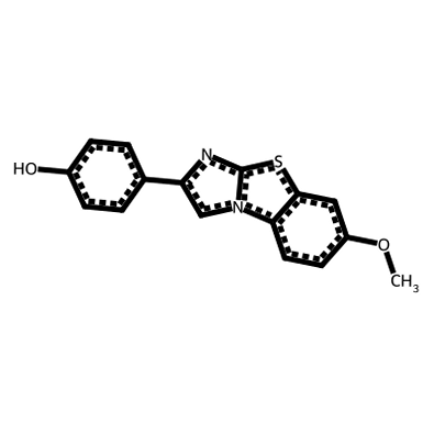 COc1ccc2c(c1)sc1nc(-c3ccc(O)cc3)cn12